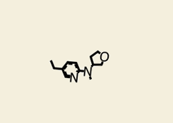 CCc1ccc(N(C)C2CCOC2)nc1